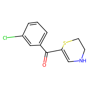 O=C(C1=CNCCS1)c1cccc(Cl)c1